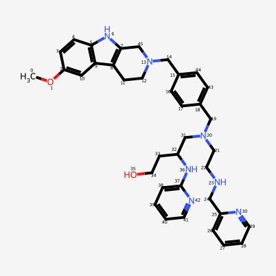 COc1ccc2[nH]c3c(c2c1)CCN(Cc1ccc(CN(CCNCc2ccccn2)CC(CCO)Nc2ccccn2)cc1)C3